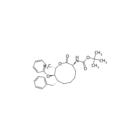 C[C@@H]1OC(=O)[C@@H](NC(=O)OC(C)(C)C)CCCC[C@H](Cc2ccccc2)[C@H]1Oc1ccccc1